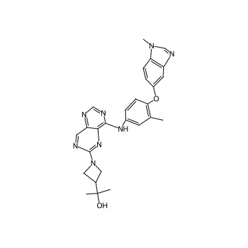 Cc1cc(Nc2ncnc3cnc(N4CC(C(C)(C)O)C4)nc23)ccc1Oc1ccc2c(c1)ncn2C